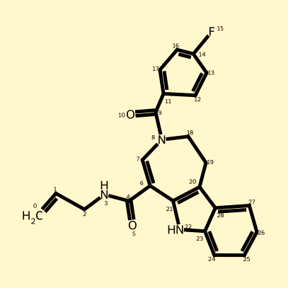 C=CCNC(=O)C1=CN(C(=O)c2ccc(F)cc2)CCc2c1[nH]c1ccccc21